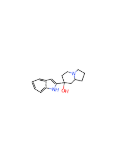 OC1(c2cc3ccccc3[nH]2)CCN2CCCC2C1